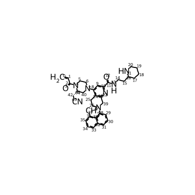 C=CC(=O)N1CCN(c2cc(C(=O)NCCC3CCCCN3)nc3c2CCN(c2cccc4cccc(C)c24)C3)C[C@@H]1CC#N